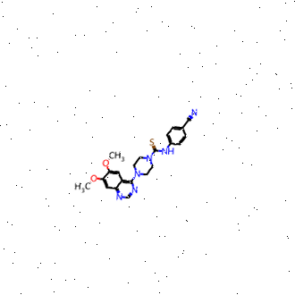 COc1cc2ncnc(N3CCN(C(=S)Nc4ccc(C#N)cc4)CC3)c2cc1OC